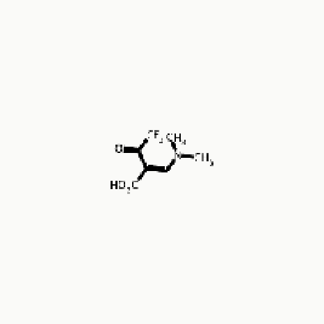 CN(C)C=C(C(=O)O)C(=O)C(F)(F)F